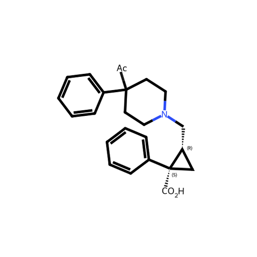 CC(=O)C1(c2ccccc2)CCN(C[C@@H]2C[C@@]2(C(=O)O)c2ccccc2)CC1